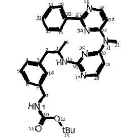 CC(Cc1cccc(CNC(=O)OC(C)(C)C)c1)Nc1nccc(N(C)c2ccnc(-c3ccccc3)n2)n1